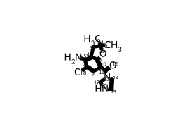 CC1(C)Cc2c(N)c(Cl)cc(C(=O)N3C=CNC3)c2O1